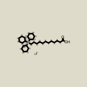 O=C(O)CCCCCCCCCCC[P+](C1CCCCC1)(C1CCCCC1)C1CCCCC1.[I-]